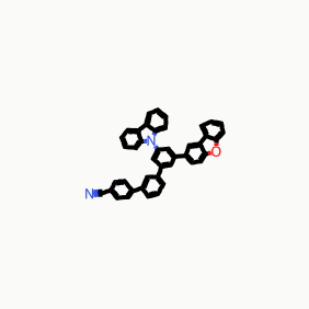 N#Cc1ccc(-c2cccc(-c3cc(-c4ccc5oc6ccccc6c5c4)cc(-n4c5ccccc5c5ccccc54)c3)c2)cc1